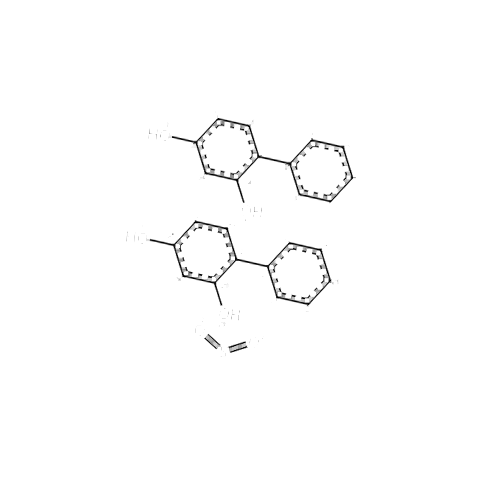 O=S=O.Oc1ccc(-c2ccccc2)c(O)c1.Oc1ccc(-c2ccccc2)c(O)c1